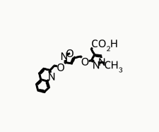 Cn1cc(CC(=O)O)c(OCc2cc(OCc3ccc4ccccc4n3)no2)n1